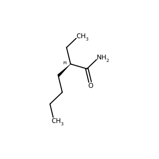 CCCC[C@@H](CC)C(N)=O